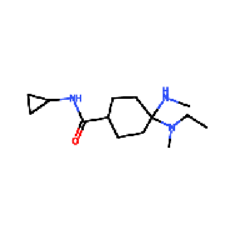 CCN(C)C1(NC)CCC(C(=O)NC2CC2)CC1